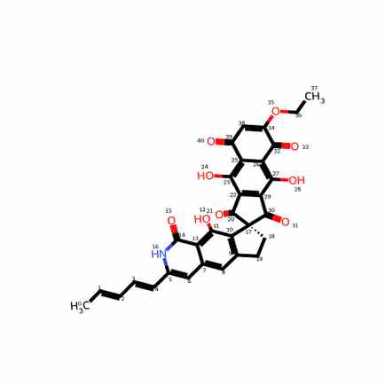 C/C=C/C=C/c1cc2cc3c(c(O)c2c(=O)[nH]1)[C@@]1(CC3)C(=O)c2c(O)c3c(c(O)c2C1=O)C(=O)C(OCC)=CC3=O